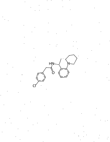 CC(NC(=O)Cc1ccc(Cl)cc1)c1ccccc1N1CCCCC1